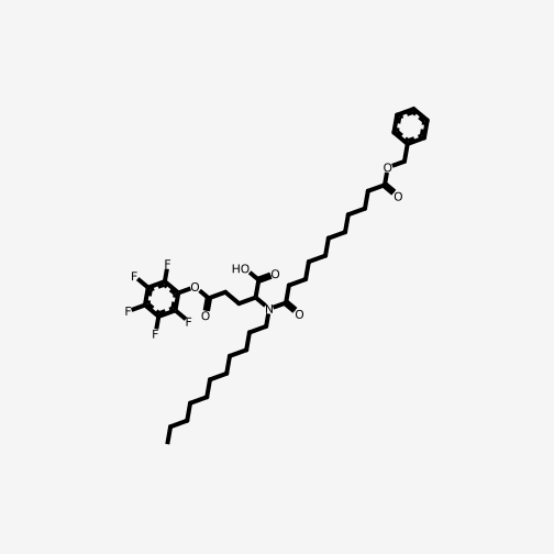 CCCCCCCCCCCN(C(=O)CCCCCCCCCC(=O)OCc1ccccc1)C(CCC(=O)Oc1c(F)c(F)c(F)c(F)c1F)C(=O)O